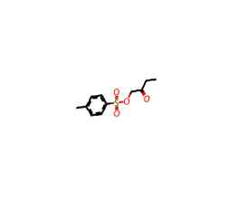 CCC(=O)COS(=O)(=O)c1ccc(C)cc1